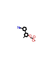 COC(=O)COc1cc(C)cc(-c2cccc(C#N)c2)c1